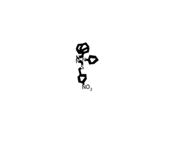 O=[N+]([O-])c1ccc(CSc2nnc(C34CC5CC(CC(C5)C3)C4)n2-c2ccccc2)cc1